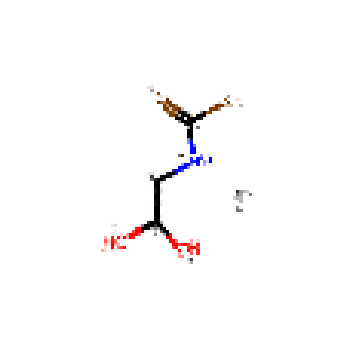 OC(O)CNC(=S)[S-].[K+]